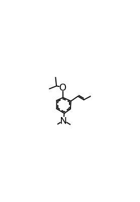 CC=Cc1cc(N(C)C)ccc1OC(C)C